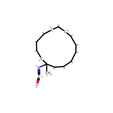 CC1(N=C=O)CCCCCCCCCCCCC1